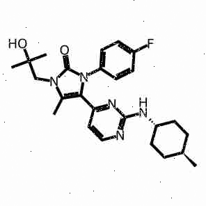 Cc1c(-c2ccnc(N[C@H]3CC[C@H](C)CC3)n2)n(-c2ccc(F)cc2)c(=O)n1CC(C)(C)O